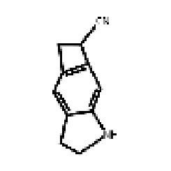 N#CC1Cc2cc3c(cc21)NCC3